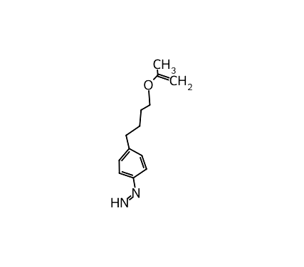 C=C(C)OCCCCc1ccc(N=N)cc1